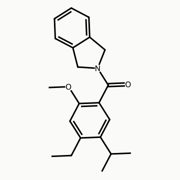 CCc1cc(OC)c(C(=O)N2Cc3ccccc3C2)cc1C(C)C